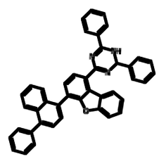 c1ccc(C2=NC(c3ccc(-c4ccc(-c5ccccc5)c5ccccc45)c4oc5ccccc5c34)=NC(c3ccccc3)N2)cc1